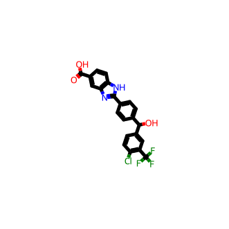 O=C(O)c1ccc2[nH]c(-c3ccc(C(O)c4ccc(Cl)c(C(F)(F)F)c4)cc3)nc2c1